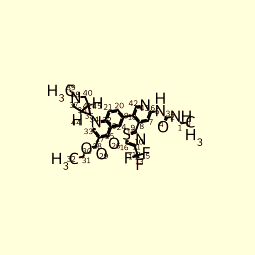 CCNC(=O)Nc1cc(-c2nc(C(F)(F)F)cs2)c(-c2ccc3c(c2)c(=O)c(C(=O)OCC)cn3[C@@H]2[C@@H]3CN(C)C[C@@H]32)cn1